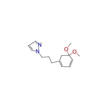 COC1(OC)C=CC=C(CCCn2cccn2)C1